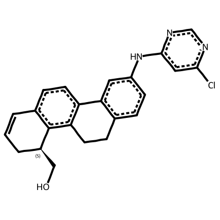 OC[C@H]1CC=Cc2ccc3c(c21)CCc1ccc(Nc2cc(Cl)ncn2)cc1-3